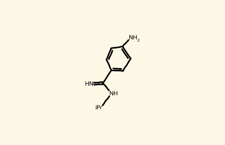 CC(C)NC(=N)c1ccc(N)cc1